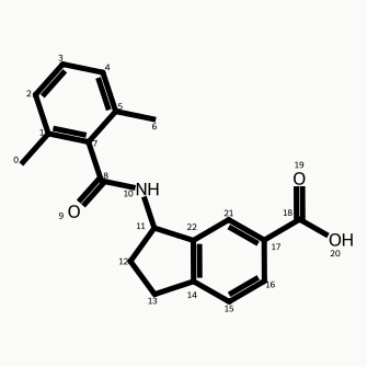 Cc1cccc(C)c1C(=O)NC1CCc2ccc(C(=O)O)cc21